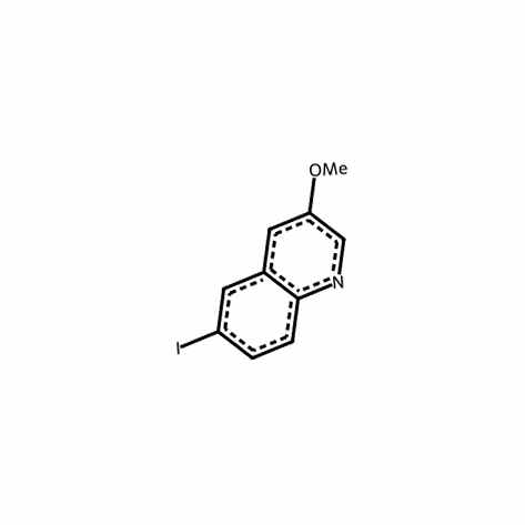 COc1cnc2ccc(I)cc2c1